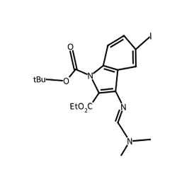 CCOC(=O)c1c(N=CN(C)C)c2cc(I)ccc2n1C(=O)OC(C)(C)C